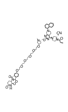 C=CC(=O)N1CCN(c2nc(OC[C@@H]3C[C@@H](OCCOCCOCCOCCOCCOc4ccc5c(c4)C(=O)N(C4CCC(=O)NC4=O)C5=O)CN3C)nc3c2CCN(c2cccc4ccccc24)C3)C[C@@H]1CC#N